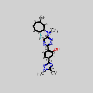 CC[C@@H]1CCC[C@H](F)[C@H](N(C)c2cnc(-c3ccc(-c4nc(C#N)n(C)n4)cc3O)nn2)C1